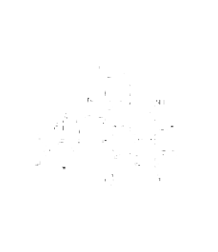 Cc1cccc2sc(C(N)=O)nc12.NCc1cccc(C(=O)N(CC(=O)O)c2ccccc2)c1.O=C(O)C(F)(F)F